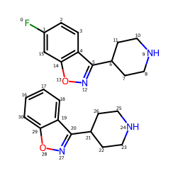 Fc1ccc2c(C3CCNCC3)noc2c1.c1ccc2c(C3CCNCC3)noc2c1